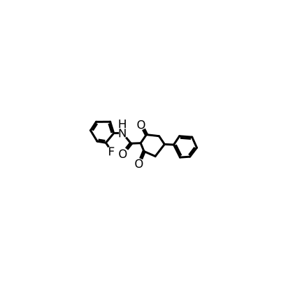 O=C1CC(c2ccccc2)CC(=O)C1C(=O)Nc1ccccc1F